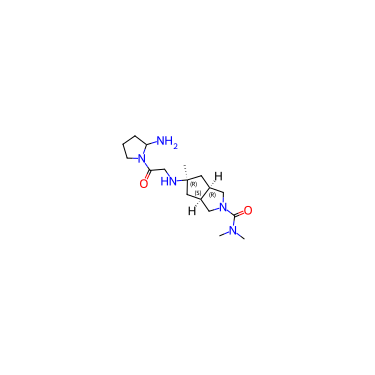 CN(C)C(=O)N1C[C@@H]2C[C@](C)(NCC(=O)N3CCCC3N)C[C@@H]2C1